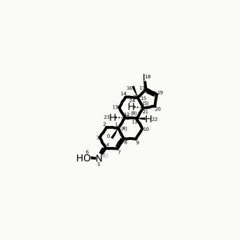 C[C@]12CC/C(=N\O)C=C1CC[C@@H]1[C@@H]2CC[C@]2(C)C(I)=CC[C@@H]12